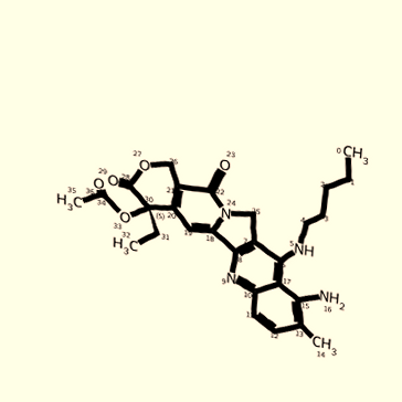 CCCCCNc1c2c(nc3ccc(C)c(N)c13)-c1cc3c(c(=O)n1C2)COC(=O)[C@@]3(CC)OC(C)=O